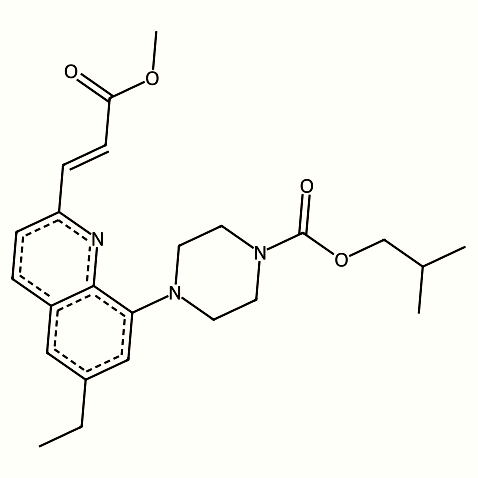 CCc1cc(N2CCN(C(=O)OCC(C)C)CC2)c2nc(C=CC(=O)OC)ccc2c1